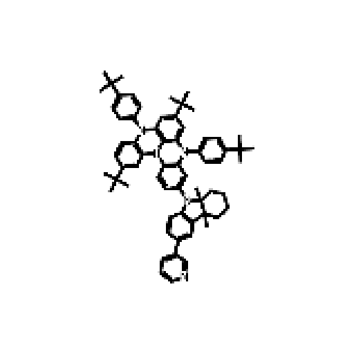 CC(C)(C)c1ccc(N2c3ccc(C(C)(C)C)cc3B3c4ccc(N5c6ccc(-c7cccnc7)cc6C6(C)CCCCC56C)cc4N(c4ccc(C(C)(C)C)cc4)c4cc(C(C)(C)C)cc2c43)cc1